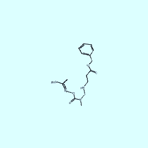 CSC(C)=NOC(=O)N(C)SNCCC(=O)OCc1ccccc1